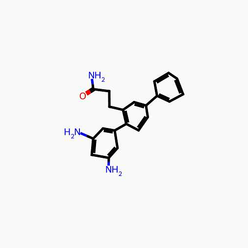 NC(=O)CCc1cc(-c2ccccc2)ccc1-c1cc(N)cc(N)c1